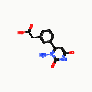 Nn1c(-c2cccc(CC(=O)O)c2)cc(=O)[nH]c1=O